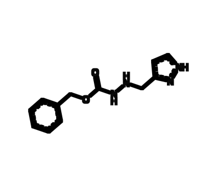 O=C(NNCc1cc[nH]n1)OCc1ccccc1